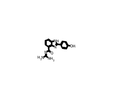 NC(N)=NC(=O)c1cccc2[nH]c(-c3ccc(O)cc3)nc12